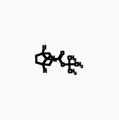 C=C1[C@@H]2CC[C@H]1CN(C(=O)OC(C)(C)C)C2